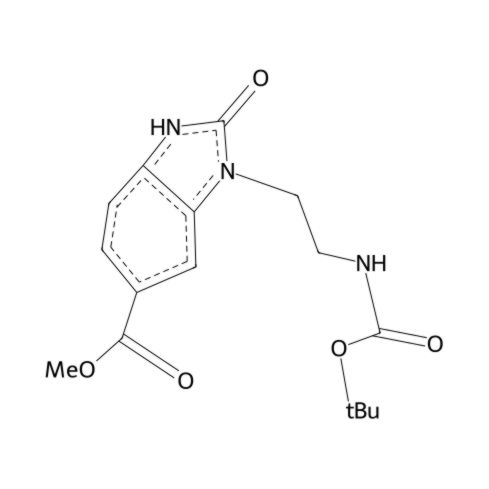 COC(=O)c1ccc2[nH]c(=O)n(CCNC(=O)OC(C)(C)C)c2c1